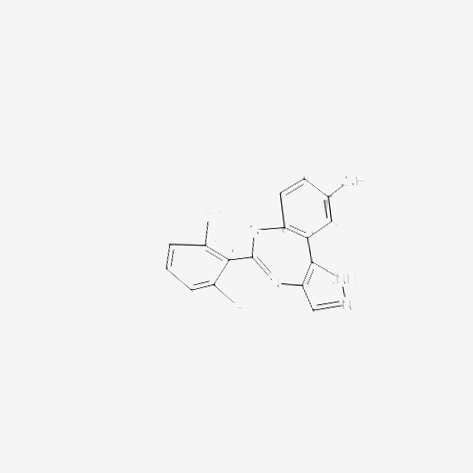 Nc1ccc2c(c1)-c1[nH]ncc1N=C(c1c(F)cccc1F)N2